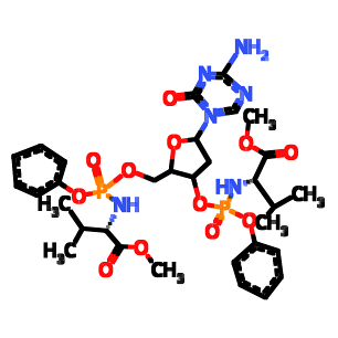 COC(=O)[C@@H](NP(=O)(OCC1OC(n2cnc(N)nc2=O)CC1OP(=O)(N[C@H](C(=O)OC)C(C)C)Oc1ccccc1)Oc1ccccc1)C(C)C